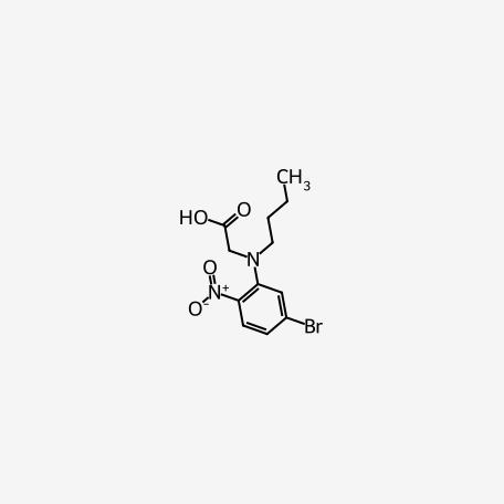 CCCCN(CC(=O)O)c1cc(Br)ccc1[N+](=O)[O-]